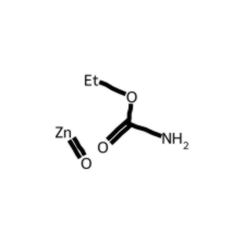 CCOC(N)=O.[O]=[Zn]